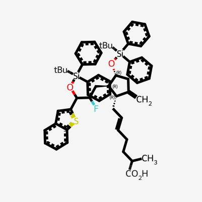 C=C1C[C@@H](O[Si](c2ccccc2)(c2ccccc2)C(C)(C)C)[C@H](CC(F)C(O[Si](c2ccccc2)(c2ccccc2)C(C)(C)C)c2cc3ccccc3s2)[C@H]1CC=CCCC(C)C(=O)O